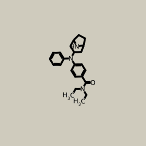 CCN(CC)C(=O)c1ccc(N(c2ccccc2)C2CC3CCC(C2)N3)cc1